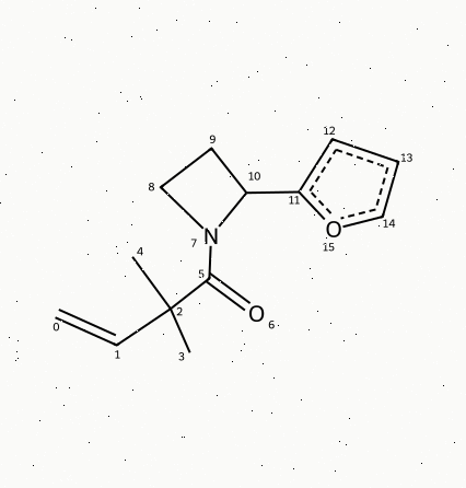 C=CC(C)(C)C(=O)N1CCC1c1ccco1